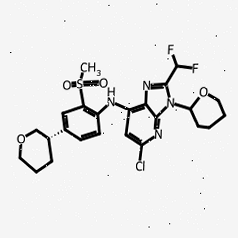 CS(=O)(=O)c1cc([C@@H]2CCCOC2)ccc1Nc1cc(Cl)nc2c1nc(C(F)F)n2C1CCCCO1